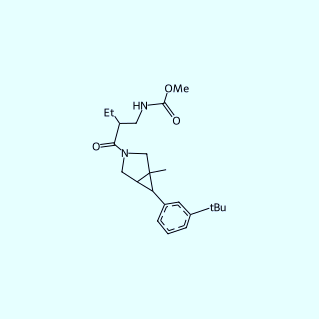 CCC(CNC(=O)OC)C(=O)N1CC2C(c3cccc(C(C)(C)C)c3)C2(C)C1